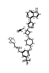 COCCNCc1cc(OC2CCN([C@H]3C[C@@](CC#N)(n4cc(-c5ncnc6[nH]ccc56)cn4)C3)CC2)nc(C(F)(F)F)c1